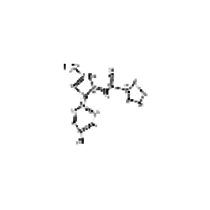 Cc1cn(-c2ccc(Cl)cc2)c(=NC(=O)N2CCCC2)s1